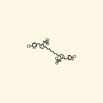 O=[N+]([O-])/N=C1\N(CCCCCCCCN2CCN(Cc3ccc(Cl)nc3)/C2=N/[N+](=O)[O-])CCN1Cc1ccc(Cl)nc1